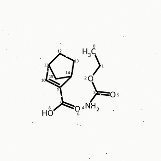 CCOC(N)=O.O=C(O)C1=CC2CCC1C2